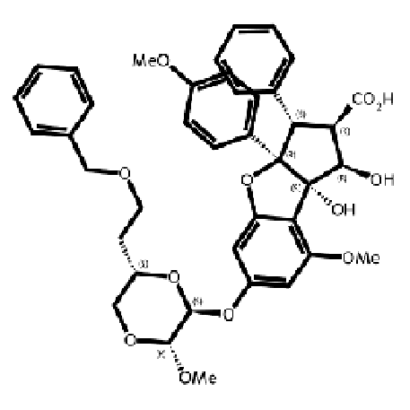 COc1ccc([C@@]23Oc4cc(O[C@@H]5O[C@@H](CCOCc6ccccc6)CO[C@H]5OC)cc(OC)c4[C@]2(O)[C@H](O)[C@H](C(=O)O)[C@H]3c2ccccc2)cc1